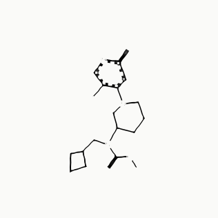 CC(C)(C)OC(=O)N(CC1CCC1)C1CCCN(c2cc(=O)[nH]cc2F)C1